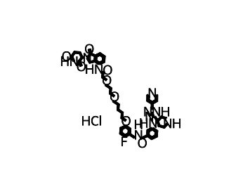 Cl.O=C1CCC(N2Cc3c(NC(=O)COCCCOCCCCCOc4ccc(F)c(CNC(=O)c5cccc(NC6(c7nnc(-c8ccncc8)[nH]7)CCNCC6)c5)c4)cccc3C2=O)C(=O)N1